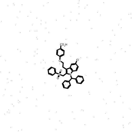 O=C(O)c1ccc(OCCc2c(CS(=O)(=O)c3ccccc3)n(C(c3ccccc3)c3ccccc3)c3ccc(Cl)cc23)cc1